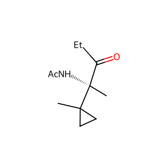 CCC(=O)[C@](C)(NC(C)=O)C1(C)CC1